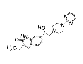 CCc1cc2ccc(C(O)CN3CCN(c4ncccn4)CC3)cc2[nH]c1=O